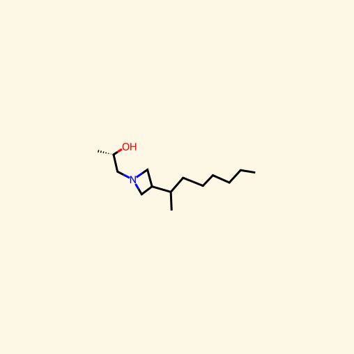 CCCCCCC(C)C1CN(C[C@H](C)O)C1